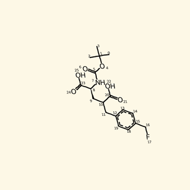 CC(C)(C)OC(=O)N[C@@H](CC(Cc1ccc(CF)cc1)C(=O)O)C(=O)O